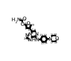 NC(=O)Oc1cc(-c2cnc(Nc3ccc(N4CCOCC4)cc3)c3ncnn23)co1